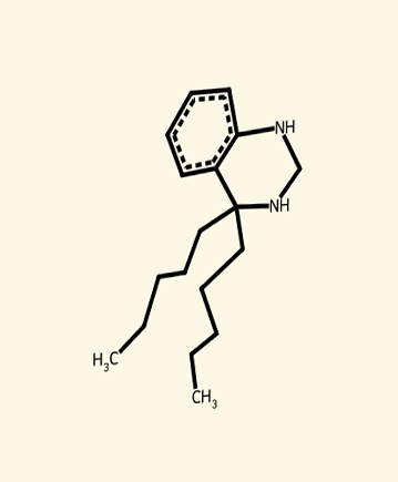 CCCCCC1(CCCCC)NCNc2ccccc21